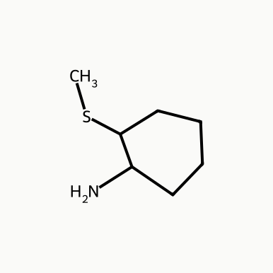 CSC1CCCCC1N